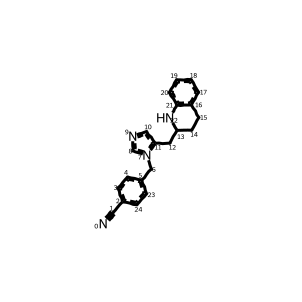 N#Cc1ccc(Cn2cncc2CC2CCc3ccccc3N2)cc1